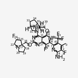 Cc1c(F)c(N)nc(-c2nc3c4c(nc(OC[C@@]56CCCN5C[C@H](F)C6)nc4c2F)N2C[C@H]4CC[C@H](N4)[C@H]2[C@H](C)O3)c1C(F)(F)F